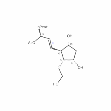 CCCCC[C@@H](/C=C/[C@@H]1[C@@H](CCO)[C@@H](O)C[C@H]1O)OC(C)=O